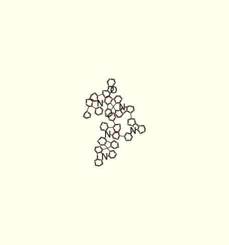 c1ccc(-c2ccccc2-c2ccccc2N(c2ccc(-c3cccc(-n4c5ccccc5c5cc(-c6cccc7c6c6cccc8c6n7-c6ccccc6C86c7ccccc7-c7c(N(c8ccccc8-c8ccc9oc%10ccccc%10c9c8)c8ccccc8-c8ccccc8-c8ccccc8)cccc76)ccc54)c3)cc2)c2cccc3c2-c2ccccc2C32c3ccccc3-n3c4ccccc4c4cccc2c43)cc1